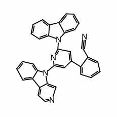 N#Cc1ccccc1-c1cc(-n2c3ccccc3c3ccccc32)nc(-n2c3ccccc3c3ccncc32)c1